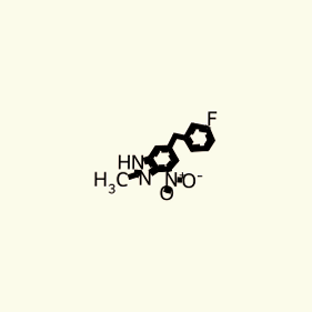 Cc1nc2c([N+](=O)[O-])cc(Cc3cccc(F)c3)cc2[nH]1